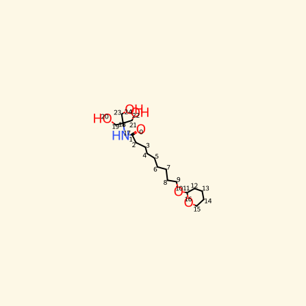 O=C(CCCCCCCCOC1CCCCO1)NC(CO)(CO)CO